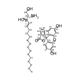 CCCCCCCCCCCCC/C=C/[C@@H](O)[C@@H](N)CO.O=C1OC2(c3ccc(O)cc3Oc3cc(O)ccc32)c2ccccc21